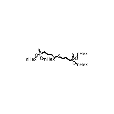 CCCCCCOP(=S)(CCCSSCCCP(=S)(OCCCCCC)OCCCCCC)OCCCCCC